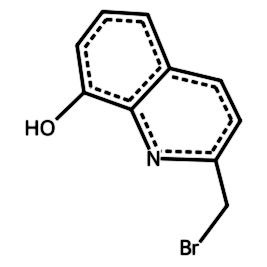 Oc1cccc2ccc(CBr)nc12